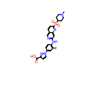 CN1CCC(S(=O)(=O)c2ccc3cnc(Nc4ccc(-n5ccc(C(=O)O)n5)cc4F)cc3n2)CC1